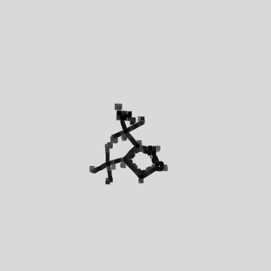 CC(C)(C)c1conc1C(C)(C)N